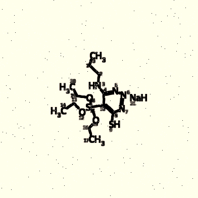 CCCNc1nnnc(S)c1[Si](OCC)(OCC)OCC.[NaH]